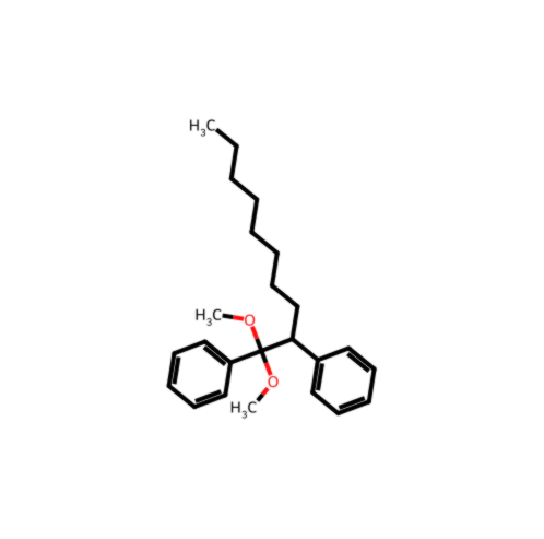 CCCCCCCCC(c1ccccc1)C(OC)(OC)c1ccccc1